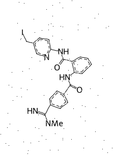 CNC(=N)c1ccc(C(=O)Nc2ccccc2C(=O)Nc2ccc(CI)cn2)cc1